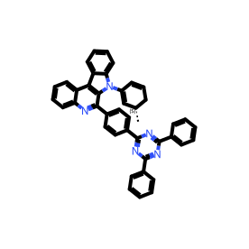 C[C@@H]1C=C(n2c3ccccc3c3c4ccccc4nc(-c4ccc(-c5nc(-c6ccccc6)nc(-c6ccccc6)n5)cc4)c32)C=CC1